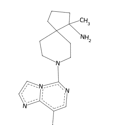 CC1(N)CCCC12CCN(c1ncc(I)c3nccn13)CC2